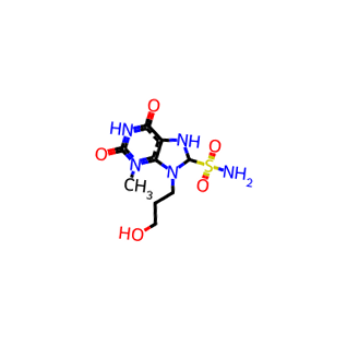 Cn1c2c(c(=O)[nH]c1=O)NC(S(N)(=O)=O)N2CCCO